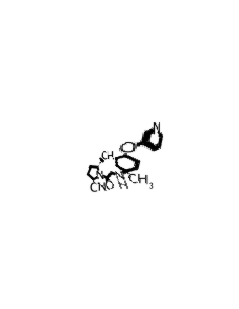 C#C[C@H]1CC[C@@H](C#N)N1C(=O)CN[C@]1(C)CC[C@@H](Oc2cccnc2)CC1